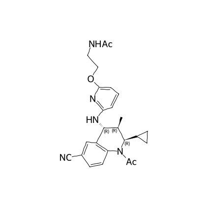 CC(=O)NCCOc1cccc(N[C@H]2c3cc(C#N)ccc3N(C(C)=O)[C@H](C3CC3)[C@@H]2C)n1